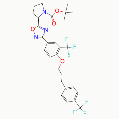 CC(C)(C)OC(=O)N1CCCC1c1nc(-c2ccc(OCCCc3ccc(C(F)(F)F)cc3)c(C(F)(F)F)c2)no1